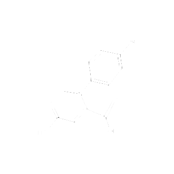 CN(/C(=C\C(=O)O)C(=O)O)c1ccc(Br)cc1